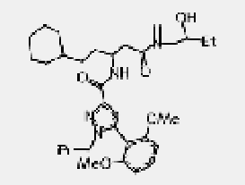 CCC(O)CNC(=O)CC(CCC1CCCCC1)NC(=O)c1cc(-c2c(OC)cccc2OC)n(CC(C)C)n1